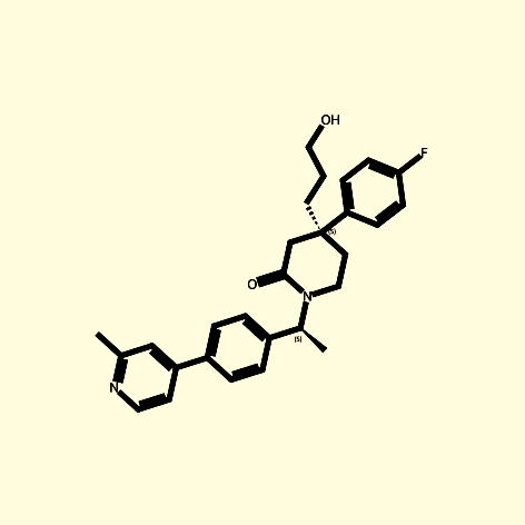 Cc1cc(-c2ccc([C@H](C)N3CC[C@](CCCO)(c4ccc(F)cc4)CC3=O)cc2)ccn1